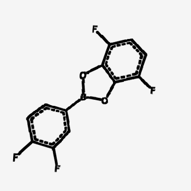 Fc1ccc(B2Oc3c(F)ccc(F)c3O2)cc1F